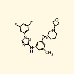 Cc1cc(Nc2ncn(-c3cc(F)cc(F)c3)n2)cc(O[C@@H]2CCCN(C3COC3)C2)c1